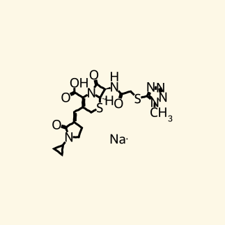 Cn1nnnc1SCC(=O)N[C@@H]1C(=O)N2C(C(=O)O)=C(C=C3CCN(C4CC4)C3=O)CS[C@H]12.[Na]